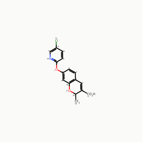 O=C(O)C1=Cc2ccc(Oc3ccc(Cl)cn3)cc2OC1C(F)(F)F